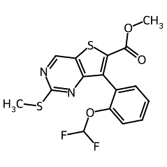 COC(=O)c1sc2cnc(SC)nc2c1-c1ccccc1OC(F)F